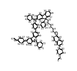 C=Cc1ccc(-c2ccc3cc(OCCCCCCC4(c5ccccc5)c5ccccc5-c5ccc(N(c6ccccc6)c6ccc(-c7ccc8c(c7)c7cc(-c9ccc(C=C)cc9)ccc7n8-c7ccccc7)cc6)cc54)ccc3c2)cc1